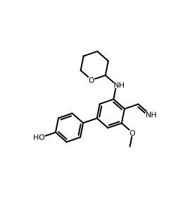 COc1cc(-c2ccc(O)cc2)cc(NC2CCCCO2)c1C=N